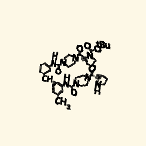 Cc1cccc(NC(=O)N2CCN(C(=O)[C@@H]3CCCN3)CC2)c1.Cc1cccc(NC(=O)N2CCN(C(=O)[C@@H]3CCCN3C(=O)OC(C)(C)C)CC2)c1